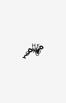 CC(C)CCOCc1cccc(NN=C2N=C(c3ccccc3F)OC2=O)c1